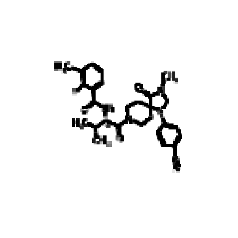 Cc1cccc(C(=O)N[C@@H](C(=O)N2CCC3(CC2)C(=O)N(C)CN3c2ccc(C#N)cc2)C(C)C)c1F